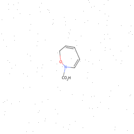 O=C(O)N1C=CC=CCO1